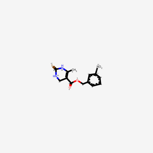 CC1=C(C(=O)OCc2cccc([N+](=O)[O-])c2)CNC(=S)N1